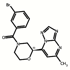 Cc1cc([C@@H]2CN(C(=O)c3cccc(Br)c3)CCO2)n2ncnc2n1